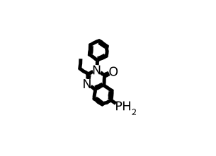 CCc1nc2ccc(P)cc2c(=O)n1-c1ccccc1